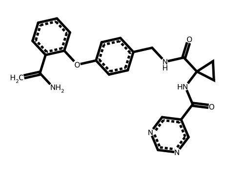 C=C(N)c1ccccc1Oc1ccc(CNC(=O)C2(NC(=O)c3cncnc3)CC2)cc1